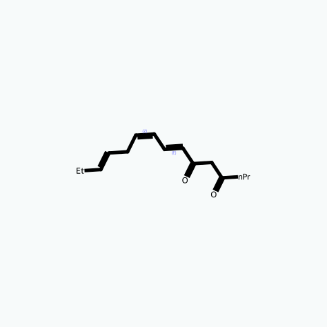 CCC=CC/C=C\C=C\C(=O)CC(=O)CCC